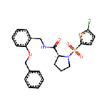 O=C(NCc1ccccc1OCc1ccccc1)[C@@H]1CCCN1S(=O)(=O)c1ccc(Cl)s1